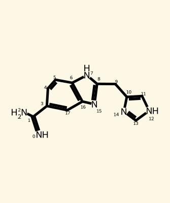 N=C(N)c1ccc2[nH]c(Cc3c[nH]cn3)nc2c1